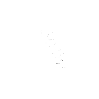 CCCCC(=O)Nc1ccc(C2=CCN(C(=O)OC(C)(C)C)CC2)cc1